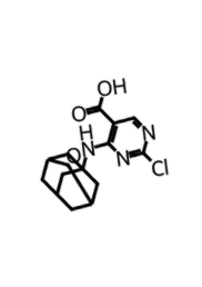 O=C(O)c1cnc(Cl)nc1NC12CC3CC(C1)C(=O)C(C3)C2